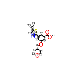 COC(=O)c1cc(OCC2CCOCC2)cc(-c2ncc(C(C)C)s2)c1